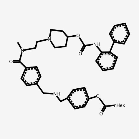 CCCCCCC(=O)Oc1ccc(CNCc2ccc(C(=O)N(C)CCN3CCC(OC(=O)Nc4ccccc4-c4ccccc4)CC3)cc2)cc1